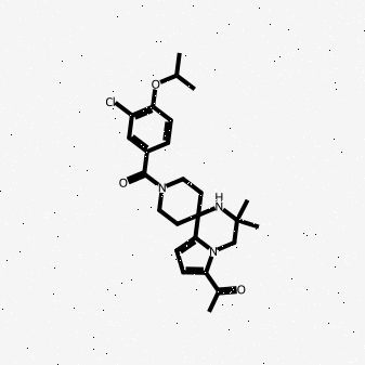 CC(=O)c1ccc2n1CC(C)(C)NC21CCN(C(=O)c2ccc(OC(C)C)c(Cl)c2)CC1